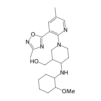 COC1CCCCC1NC1CCN(c2ncc(C)cc2-c2nc(C)no2)CC1CO